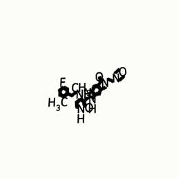 Cc1ccc(F)cc1C[C@H](C)Nc1cc[nH]c(=O)c1-c1nc2cc3c(cc2[nH]1)CN(CCN1CCOCC1)C3=O